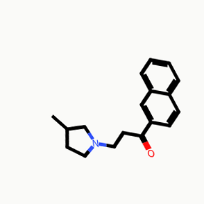 CC1CCN(CCC(=O)c2ccc3ccccc3c2)C1